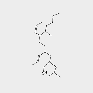 CC=CC(CCC(/C=C\C)C(C)CCCC)CC(CS)CC(C)C